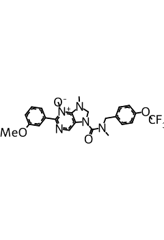 COc1cccc(-c2ncc3c([n+]2[O-])N(C)CN3C(=O)N(C)Cc2ccc(OC(F)(F)F)cc2)c1